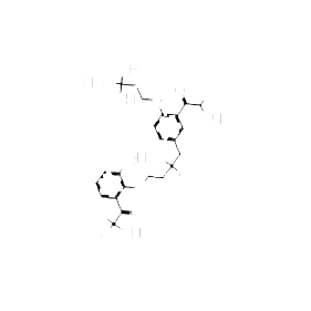 CC(C)C(=O)c1cc(CC(C)(C)CCOc2c(Cl)cccc2C(=O)C(C)(C)C)ccc1OCCC(C)(C)C